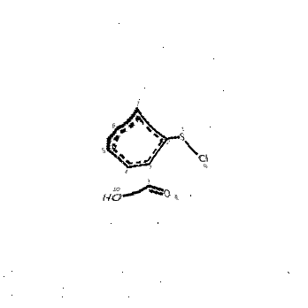 ClSc1ccccc1.O=CO